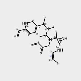 C=CC(=C)CN(C(C)N(C)C(C)C1=CC=C(C=C)NC1)C1(C)NC1N/C=C\C